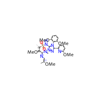 C=N/C(=N\C=C(/C)OC)[C@@H](OC)[C@H](C)S(=O)(=O)Nc1nnc(-c2cccc(OC)n2)n1-c1c(OC)cccc1OC